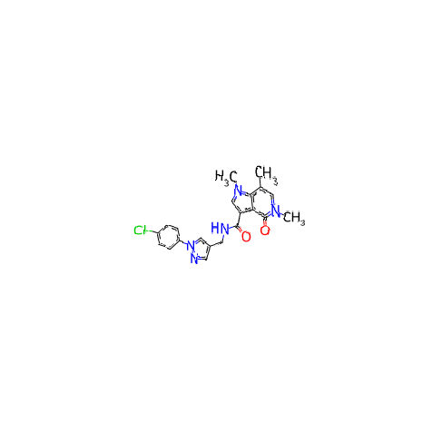 Cc1cn(C)c(=O)c2c(C(=O)NCc3cnn(-c4ccc(Cl)cc4)c3)cn(C)c12